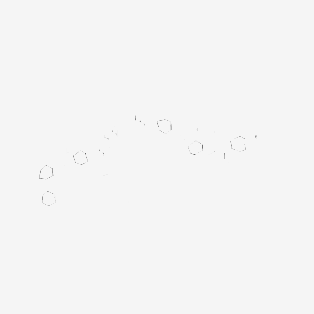 CCOC(=O)COc1cc(OCc2cccc(-c3ccccc3)c2C)c(Cl)cc1CN1CCCCC1C(=O)N1CCC(C(=O)NCc2ccc(COc3ccc(/C=C/C(=O)c4ccc(OC)cc4)cc3OC)cc2)CC1